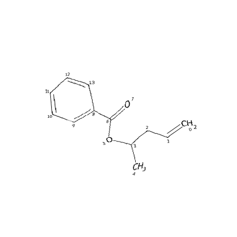 C=CCC(C)OC(=O)c1ccccc1